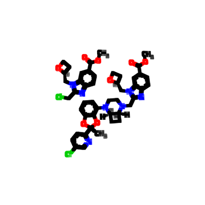 COC(=O)c1ccc2nc(CCl)n(C[C@@H]3CCO3)c2c1.COC(=O)c1ccc2nc(CN3CCN(c4cccc5c4OC(C)(c4ccc(Cl)cn4)O5)[C@@H]4CC[C@H]43)n(C[C@@H]3CCO3)c2c1